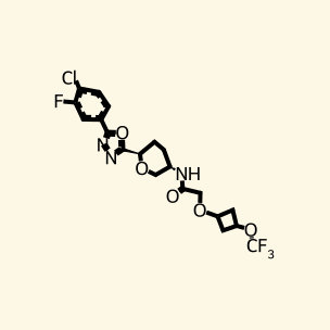 O=C(COC1CC(OC(F)(F)F)C1)N[C@H]1CC[C@H](c2nnc(-c3ccc(Cl)c(F)c3)o2)OC1